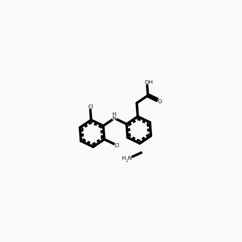 CN.O=C(O)Cc1ccccc1Nc1c(Cl)cccc1Cl